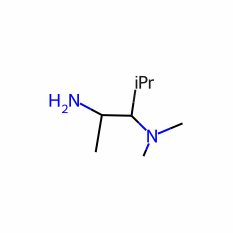 CC(C)C(C(C)N)N(C)C